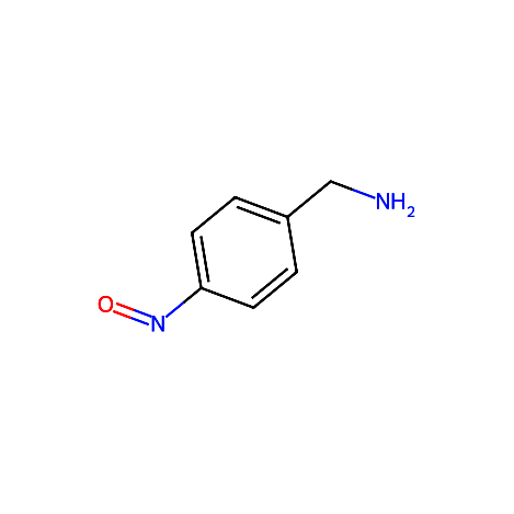 NCc1ccc(N=O)cc1